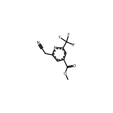 COC(=O)c1cc(CC#N)nc(C(F)(F)F)c1